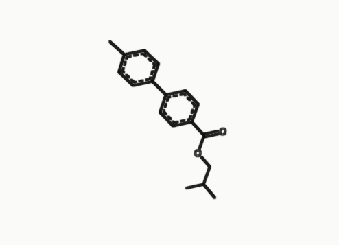 Cc1ccc(-c2ccc(C(=O)OCC(C)C)cc2)cc1